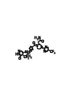 C[C@@H](Cn1ccc(C(=O)N2CCN(c3ncc(C(F)(F)F)cn3)C[C@@H]2CC(N)=O)c1)Nc1cn[nH]c(=O)c1C(F)(F)F